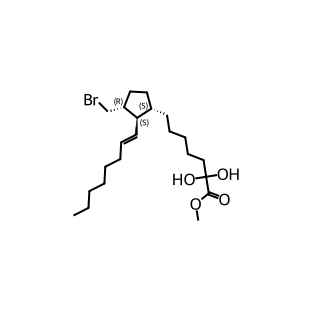 CCCCCCC=C[C@@H]1[C@@H](CCCCCC(O)(O)C(=O)OC)CC[C@H]1CBr